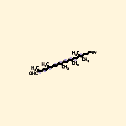 C\C(C=O)=C/C=C/C(C)=C/C=C/C=C(C)/C=C/C=C(C)/C=C/C(C)=C(\C)CCCC(C)C